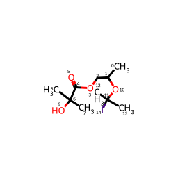 CC(COC(=O)C(C)(C)O)OC(C)(C)I